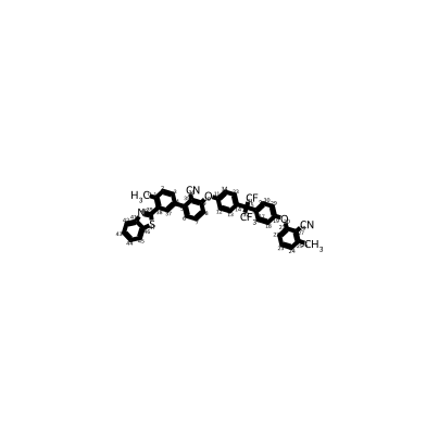 Cc1ccc(-c2cccc(Oc3ccc(C(c4ccc(Oc5cccc(C)c5C#N)cc4)(C(F)(F)F)C(F)(F)F)cc3)c2C#N)cc1-c1nc2ccccc2s1